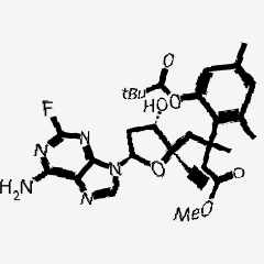 C#C[C@@]1(CC(C)(CC(=O)OC)c2c(C)cc(C)cc2OC(=O)C(C)(C)C)O[C@@H](n2cnc3c(N)nc(F)nc32)C[C@@H]1O